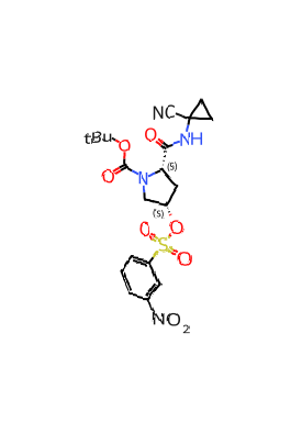 CC(C)(C)OC(=O)N1C[C@@H](OS(=O)(=O)c2cccc([N+](=O)[O-])c2)C[C@H]1C(=O)NC1(C#N)CC1